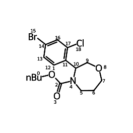 CCCCOC(=O)N1CCCOCC1c1ccc(Br)cc1Cl